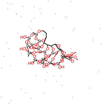 CO[Si]12OC3CCO[Si](C)(O[Si]4(O)O[Si](C)(O1)O[Si]15OC3C3O[Si]6(O[Si](C)(O[Si]7(O)O[Si](C)(O6)O[Si]68OC3C3CCO[Si]9(O)O[Si]%10(O)O[Si](C)(O[Si](O)(O7)O6)O[Si](O3)(O[Si](C)(O%10)O[Si](OC)(OC)O9)O8)O[Si](O)(O4)O1)O5)O2